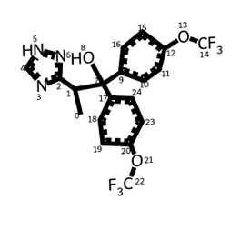 CC(c1nc[nH]n1)C(O)(c1ccc(OC(F)(F)F)cc1)c1ccc(OC(F)(F)F)cc1